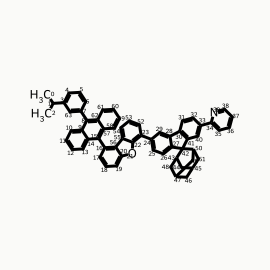 CC(C)c1cccc(-c2c3ccccc3c(-c3cccc4oc5c(-c6ccc7c(c6)-c6ccc(-c8ccccn8)cc6C76C7CC8CC(C7)CC6C8)cccc5c34)c3ccccc23)c1